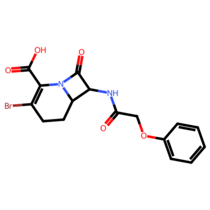 O=C(COc1ccccc1)NC1C(=O)N2C(C(=O)O)=C(Br)CCC12